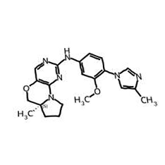 COc1cc(Nc2ncc3c(n2)N2CCC[C@@]2(C)CO3)ccc1-n1cnc(C)c1